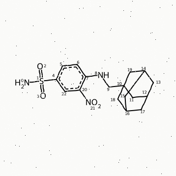 NS(=O)(=O)c1ccc(NCC23CC4CC(CC(C4)C2)C3)c([N+](=O)[O-])c1